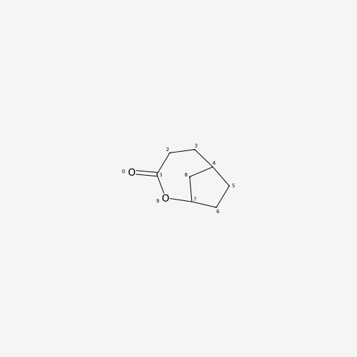 O=C1CCC2CCC(C2)O1